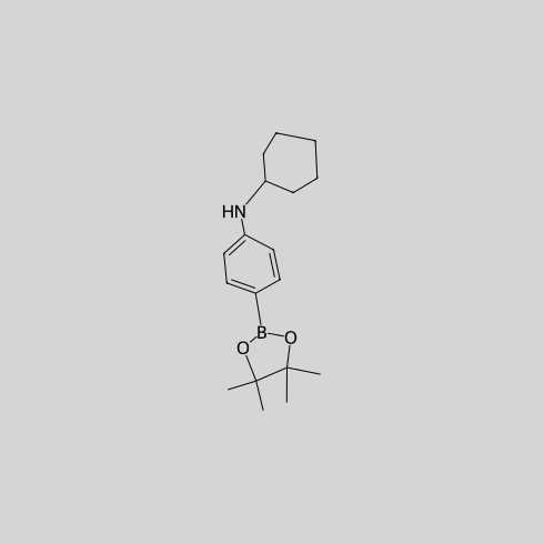 CC1(C)OB(c2ccc(NC3CCCCC3)cc2)OC1(C)C